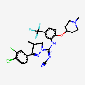 CC1CN(/C(=N\C#N)Nc2cc(C(F)(F)F)ccc2OC2CCN(C)CC2)N=C1c1ccc(Cl)c(Cl)c1